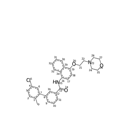 Cc1ccc(Cl)cc1-c1cccc(C(=O)Nc2ccc(OCCN3CCOCC3)c3ccccc23)c1